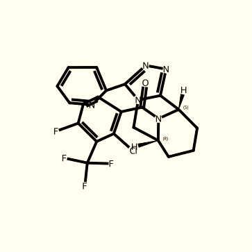 O=C(c1ccc(F)c(C(F)(F)F)c1Cl)N1[C@@H]2CCC[C@H]1c1nnc(-c3ccccn3)n1C2